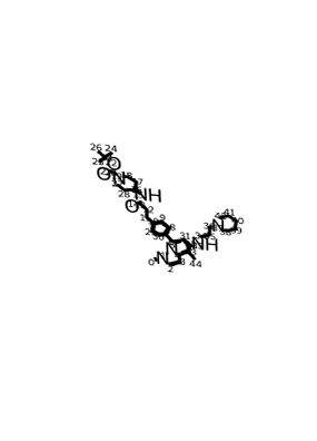 C=N/C=C\c1nc(-c2ccc(CCC(=O)NC3CCN(C(=O)OC(C)(C)C)CC3)cc2)cc(NCCCN2CCCCC2)c1C